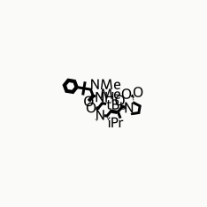 CN[C@H](C(=O)NC(C(=O)N(C)[C@H](/C=C(\C)C(=O)N1CCC[C@H]1C(=O)OC)C(C)C)C(C)(C)C)C(C)(C)c1ccccc1